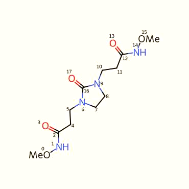 CONC(=O)CCN1CCN(CCC(=O)NOC)C1=O